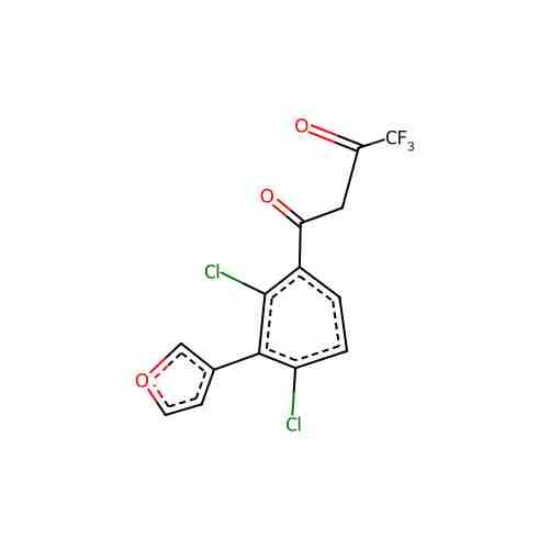 O=C(CC(=O)C(F)(F)F)c1ccc(Cl)c(-c2ccoc2)c1Cl